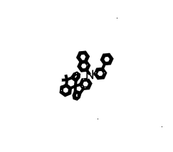 CC1(C)c2ccccc2C2(c3ccccc3-c3ccc(N(c4cccc(-c5ccccc5)c4)c4ccc5ccccc5c4)cc32)c2ccccc21